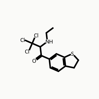 CCNC(C(=O)c1ccc2c(c1)SCC2)C(Cl)(Cl)Cl